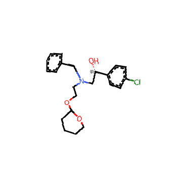 O[C@@H](CN(CCOC1CCCCO1)Cc1ccccc1)c1ccc(Cl)cc1